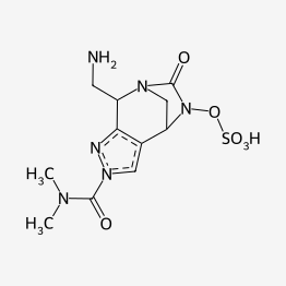 CN(C)C(=O)n1cc2c(n1)C(CN)N1CC2N(OS(=O)(=O)O)C1=O